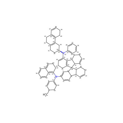 CC1C=CC(N(C2=CC3C(C=C2)C2C=CCCC2C32C3=C(C(N(c4ccccc4)[C@H]4CCC5=C(C4)C4=C(C=CCC4)CC5)=CCC3)C3CCC=CC32)C2=c3ccccc3=CCC2)=CC1